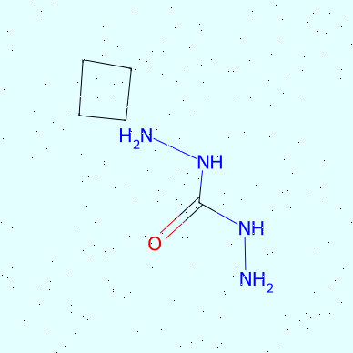 C1CCC1.NNC(=O)NN